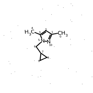 Cc1cc(C)n(CC2CC2)n1